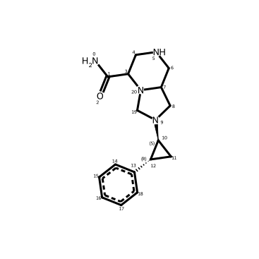 NC(=O)C1CNCC2CN([C@H]3C[C@@H]3c3ccccc3)CN21